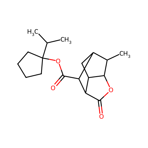 CC1C2CC3C1OC(=O)C3C2C(=O)OC1(C(C)C)CCCC1